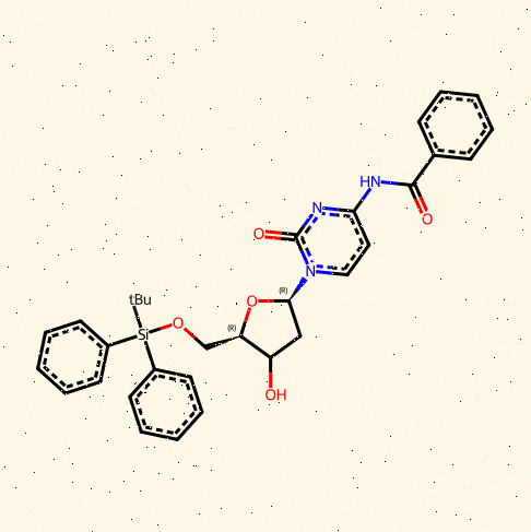 CC(C)(C)[Si](OC[C@H]1O[C@@H](n2ccc(NC(=O)c3ccccc3)nc2=O)CC1O)(c1ccccc1)c1ccccc1